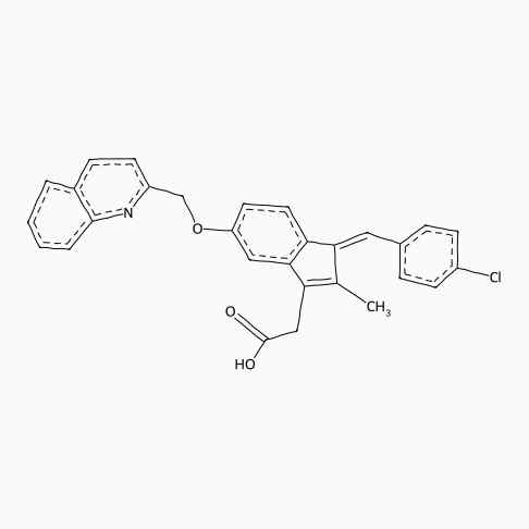 CC1=C(CC(=O)O)c2cc(OCc3ccc4ccccc4n3)ccc2C1=Cc1ccc(Cl)cc1